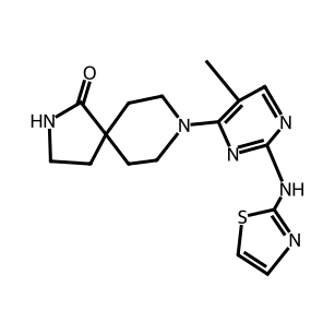 Cc1cnc(Nc2nccs2)nc1N1CCC2(CCNC2=O)CC1